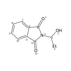 CCC(O)N1C(=O)c2ccccc2C1=O